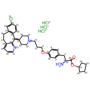 Cl.Cl.Cl.N[C@@H](Cc1ccc(OCCCN2CCC(=C3c4ccc(Cl)cc4CCc4cccnc43)CC2)cc1)C(=O)OC1CCCC1